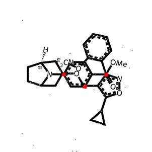 COC(=O)c1ccc(N2C3CC[C@H]2CC(OCc2c(-c4ccccc4OC(F)(F)F)noc2C2CC2)C3)nc1